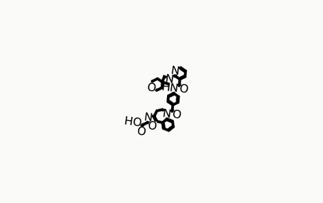 O=C(O)c1nc2c(o1)-c1ccccc1N(C(=O)c1ccc(NC(=O)c3cccnc3N3CC4(CCOCC4)C3)cc1)CC2